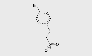 O=[SH](=O)CCc1ccc(Br)cc1